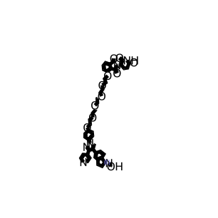 O=C1CC[C@@H](N2C(=O)c3cccc(OCCOCCOCCOCCOCCOc4ccc(-n5cc(-c6ccc7c(c6)CC/C7=N\O)c(-c6ccncc6)n5)cc4)c3C2=O)C(=O)N1